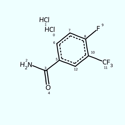 Cl.Cl.NC(=O)c1ccc(F)c(C(F)(F)F)c1